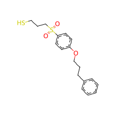 O=S(=O)(CCCS)c1ccc(OCCCc2ccccc2)cc1